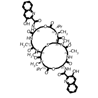 CC(C)[C@H]1C(=O)OC[C@@H](NC(=O)c2nc3ccccc3cc2O)C(=O)N[C@@H](C)C(=O)N(C)[C@H]2CSC[C@@H](C(=O)N1C)N(C)C(=O)[C@H](C)NC(=O)[C@H](NC(=O)c1nc3ccccc3cc1O)COC(=O)[C@H](C(C)C)N(C)C2=O